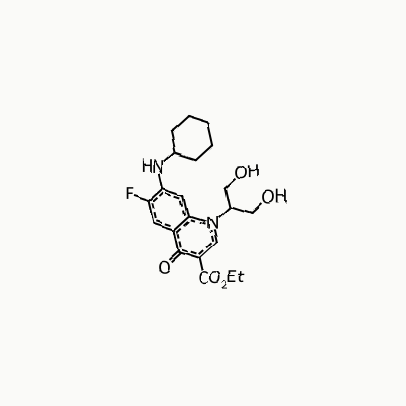 CCOC(=O)c1cn(C(CO)CO)c2cc(NC3CCCCC3)c(F)cc2c1=O